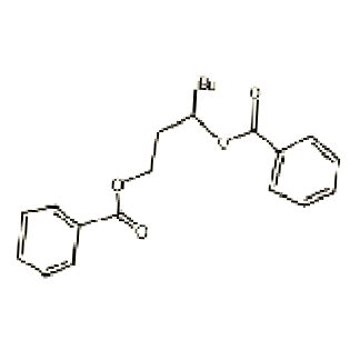 CCC(C)C(CCOC(=O)c1ccccc1)OC(=O)c1ccccc1